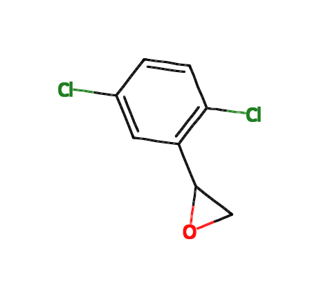 Clc1ccc(Cl)c(C2CO2)c1